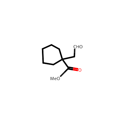 COC(=O)C1(CC=O)CCCCC1